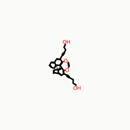 OCCCC#CC1=CC2=CC=CC[C@@H]2c2c1occoc1c(C#CCCCO)cc3c(c21)CC=CC3